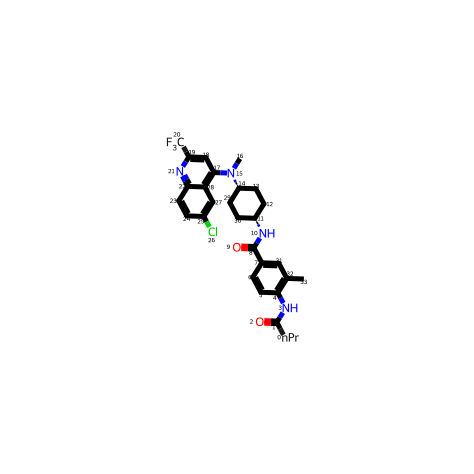 CCCC(=O)Nc1ccc(C(=O)N[C@H]2CC[C@@H](N(C)c3cc(C(F)(F)F)nc4ccc(Cl)cc34)CC2)cc1C